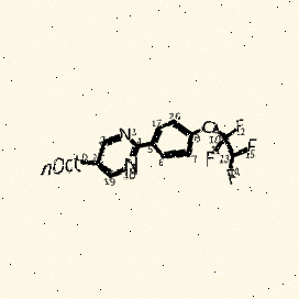 CCCCCCCCc1cnc(-c2ccc(OC(F)(F)C(F)F)cc2)nc1